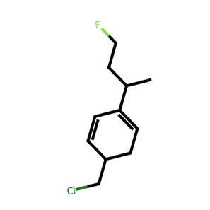 CC(CCF)C1=CCC(CCl)C=C1